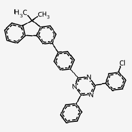 CC1(C)c2ccccc2-c2cc(-c3ccc(-c4nc(-c5ccccc5)nc(-c5cccc(Cl)c5)n4)cc3)ccc21